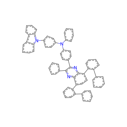 c1ccc(-c2ccccc2-c2ccc(-c3ccccc3-c3ccccc3)c3nc(-c4ccc(N(c5ccccc5)c5ccc(-n6c7ccccc7c7ccccc76)cc5)cc4)c(-c4ccccc4)nc23)cc1